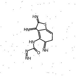 N=NC(=O)NC1=C2C(=N)C(=N)SC2=CCC1=N